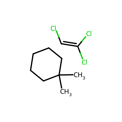 CC1(C)CCCCC1.ClC=C(Cl)Cl